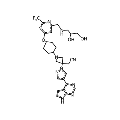 N#CCC1(n2cc(-c3ncnc4[nH]ccc34)cn2)CN(C2CCC(Oc3cc(CNCC(O)CO)nc(C(F)(F)F)n3)CC2)C1